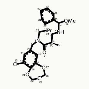 COC(NC[C@@H](C)C(=O)N(Cc1cc(Cl)c2c(c1)OCCCO2)CC(C)C)c1ccccc1